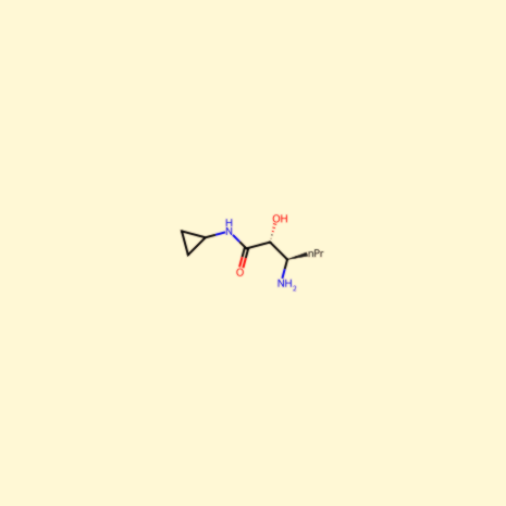 CCC[C@@H](N)[C@@H](O)C(=O)NC1CC1